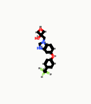 OC1(CN2CNc3cc(Oc4ccc(C(F)(F)F)cc4)ccc32)COC1